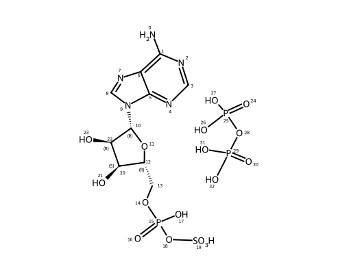 Nc1ncnc2c1ncn2[C@@H]1O[C@H](COP(=O)(O)OS(=O)(=O)O)[C@@H](O)[C@H]1O.O=P(O)(O)OP(=O)(O)O